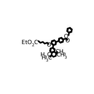 CCOC(=O)CCCCCOc1ccc(-c2ccc(C(=O)OCc3ccccc3)cc2)cc1-c1ccc2c(c1)C(C)(C)CCC2(C)C